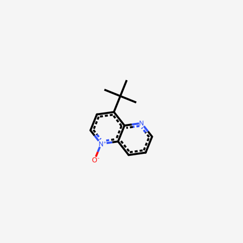 CC(C)(C)c1cc[n+]([O-])c2cccnc12